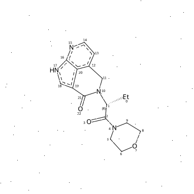 CC[C@H](C(=O)N1CCOCC1)N1Cc2ccnc3[nH]cc(c23)C1=O